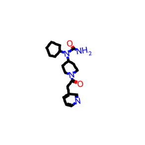 NC(=O)N(C1CCCCC1)C1CCN(C(=O)Cc2cccnc2)CC1